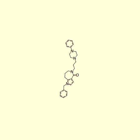 O=C1c2ccn(Cc3ccccc3)c2CCCN1CCCN1CCN(c2ccccc2)CC1